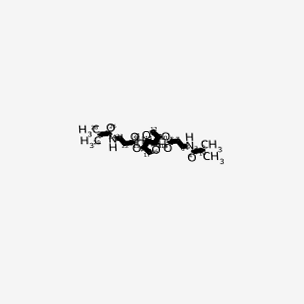 CC(C)C(=O)NCCC(=O)O[C@H]1CO[C@H]2[C@@H]1OC[C@H]2OC(=O)CCNC(=O)C(C)C